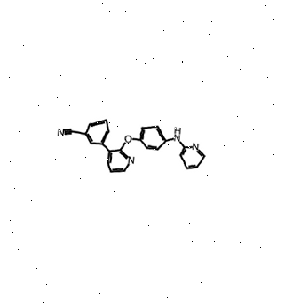 N#Cc1cccc(-c2cccnc2Oc2ccc(Nc3ccccn3)cc2)c1